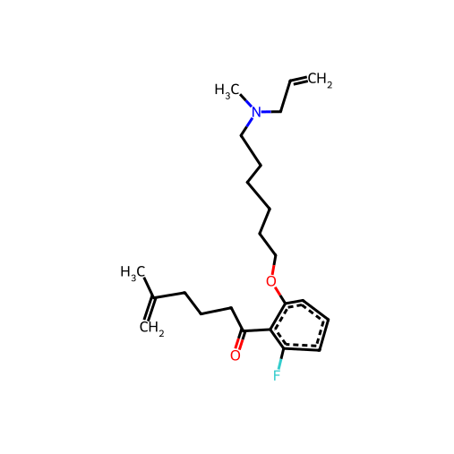 C=CCN(C)CCCCCCOc1cccc(F)c1C(=O)CCCC(=C)C